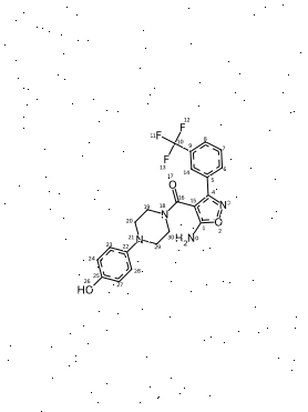 Nc1onc(-c2cccc(C(F)(F)F)c2)c1C(=O)N1CCN(c2ccc(O)cc2)CC1